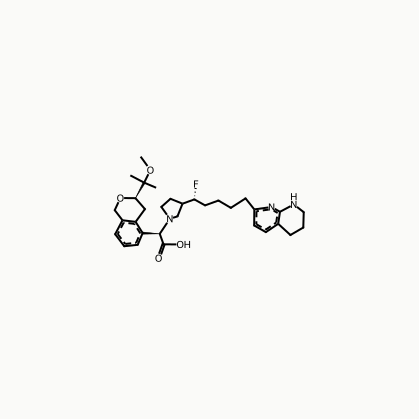 COC(C)(C)[C@H]1Cc2c(cccc2[C@H](C(=O)O)N2CCC([C@H](F)CCCCc3ccc4c(n3)NCCC4)C2)CO1